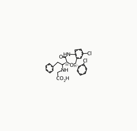 O=C(O)CNC(Cc1ccccc1)[C@@H]1O[C@@H](c2ccccc2Cl)c2cc(Cl)ccc2NC1=O